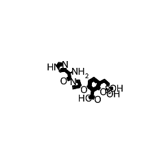 N[C@@H](C(=O)N1CC(Oc2ccc3c(c2C(=O)O)O[B-](O)(O)CC3)C1)c1c[nH]cn1